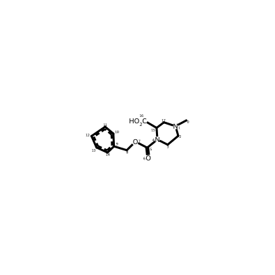 CN1CCN(C(=O)OCc2ccccc2)C(C(=O)O)C1